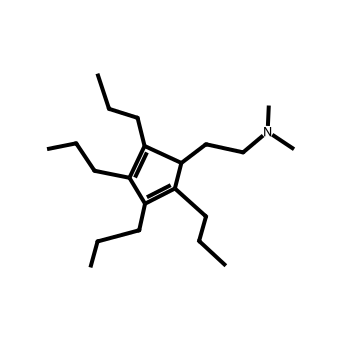 CCCC1=C(CCC)C(CCN(C)C)C(CCC)=C1CCC